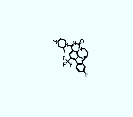 CC1CN(C)CCN1c1nc(=O)n2c3c4c(c(C(F)(F)F)cc13)-c1ccc(F)cc1S4(F)CCC2